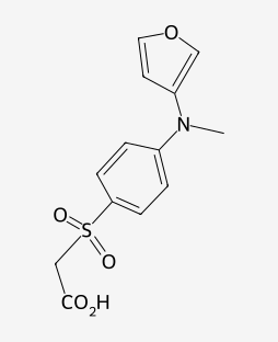 CN(c1ccc(S(=O)(=O)CC(=O)O)cc1)c1ccoc1